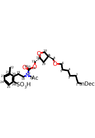 CCCCCCCCCCCCCCCCOC[C@@H]1CO[C@@H](COC(=O)N(CCc2c(C)cccc2S(=O)(=O)O)C(C)=O)C1